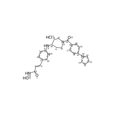 Cl.O=C(C=Cc1ccc(NC2CCN(C(=O)c3ccc(-n4cccc4)cc3)CC2)nc1)NO